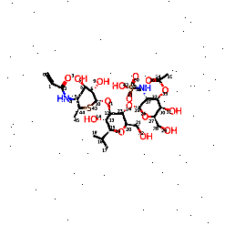 C=CC(=O)N[C@H]1[C@@H](O)[C@H](O)[C@H](O[C@@H]2[C@@H](O)[C@H](C(C)C)O[C@H](CO)[C@H]2O[C@H]2O[C@H](CO)[C@H](O)[C@H](OC(C)=O)[C@H]2NS(=O)(=O)O)S[C@H]1C